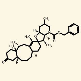 CC1=C2C[C@@H](C)C3(C)CCC(=O)C[C@H]3CCC[C@@H]2CCC12O[C@@H]1CC(C)CN(C(=O)OCc3ccccc3)[C@H]1[C@H]2C